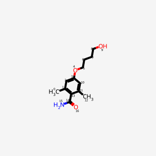 Cc1cc(OCCCCO)cc(C)c1C(N)=O